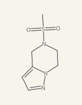 CS(=O)(=O)N1CCn2n[c]cc2C1